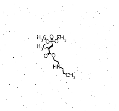 CCCNCCOC(=O)C(C)=CP(=O)(OC)OC